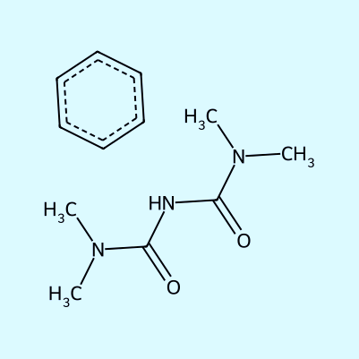 CN(C)C(=O)NC(=O)N(C)C.c1ccccc1